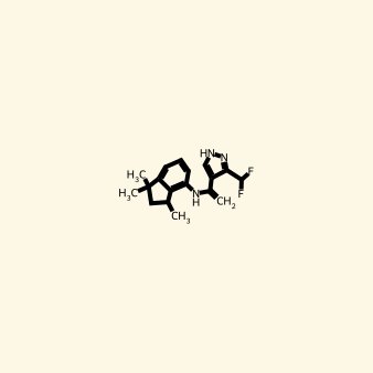 C=C(Nc1cccc2c1C(C)CC2(C)C)c1c[nH]nc1C(F)F